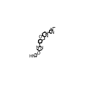 CCn1cc(-n2ccc(=O)c(Cc3cccc(-c4ncc(OC5CNC5)cn4)c3)n2)cn1